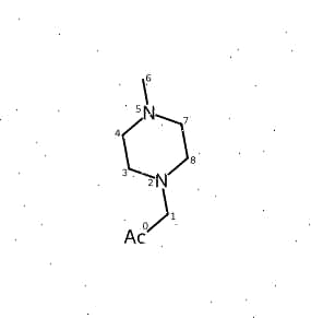 C[13C](=[18O])CN1CCN(C)CC1